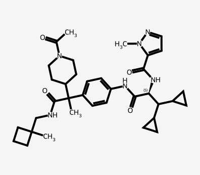 CC(=O)N1CCC(C(C)(C(=O)NCC2(C)CCC2)c2ccc(NC(=O)[C@@H](NC(=O)c3ccnn3C)C(C3CC3)C3CC3)cc2)CC1